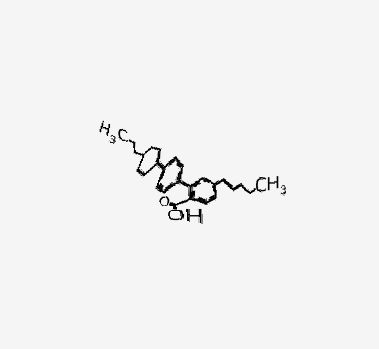 CCCC=Cc1ccc(C(=O)O)c(-c2ccc(C3=CCC(CCC)CC3)cc2)c1